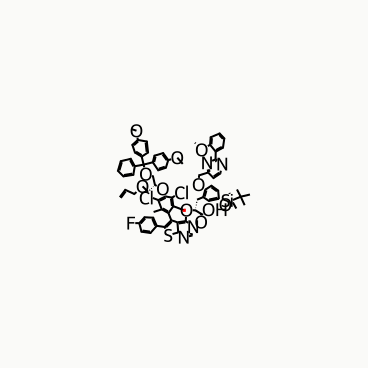 C=CCOC[C@H](COC(c1ccccc1)(c1ccc(OC)cc1)c1ccc(OC)cc1)Oc1c(Cl)c(C)c(-c2c(-c3ccc(F)cc3)sc3ncnc(O[C@H](Cc4cc(O[Si](C)(C)C(C)(C)C)ccc4OCc4ccnc(-c5ccccc5OC)n4)C(=O)O)c23)c(C)c1Cl